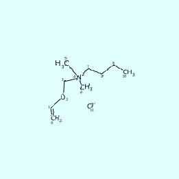 C=COC[N+](C)(C)CCCC.[Cl-]